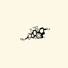 CCCC1OC2C[C@H]3C4CCC5=CC(=O)C=CC5(C)[C@H]4[C@@H](O)CC3(C)C2O1